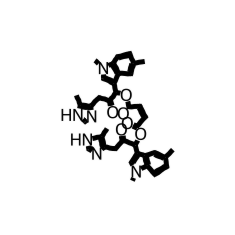 Cc1ccc2c(c1)c(C(OC(=O)/C=C\C(=O)OC(C(=O)Cc1nc[nH]c1C)c1cn(C)c3ccc(C)cc13)C(=O)Cc1nc[nH]c1C)cn2C